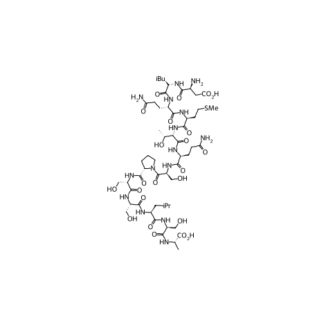 CC[C@H](C)[C@H](NC(=O)[C@@H](N)CC(=O)O)C(=O)N[C@@H](CCC(N)=O)C(=O)N[C@@H](CCSC)C(=O)N[C@H](C(=O)N[C@@H](CCC(N)=O)C(=O)N[C@@H](CO)C(=O)N1CCC[C@H]1C(=O)N[C@@H](CO)C(=O)N[C@@H](CO)C(=O)N[C@@H](CC(C)C)C(=O)N[C@@H](CO)C(=O)N[C@@H](C)C(=O)O)[C@@H](C)O